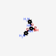 Nc1ccc(C(=O)Nc2cc(NC(=O)c3ccc(N)cc3)cc(C(=O)O)c2)cc1